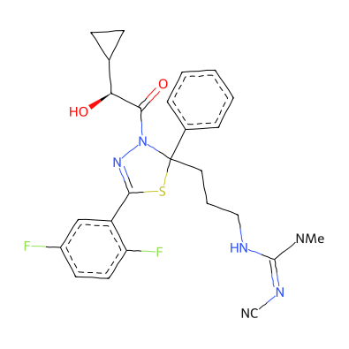 CN/C(=N/C#N)NCCCC1(c2ccccc2)SC(c2cc(F)ccc2F)=NN1C(=O)[C@@H](O)C1CC1